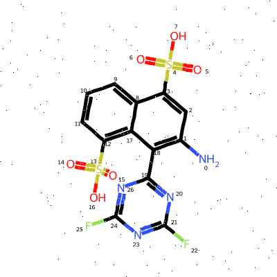 Nc1cc(S(=O)(=O)O)c2cccc(S(=O)(=O)O)c2c1-c1nc(F)nc(F)n1